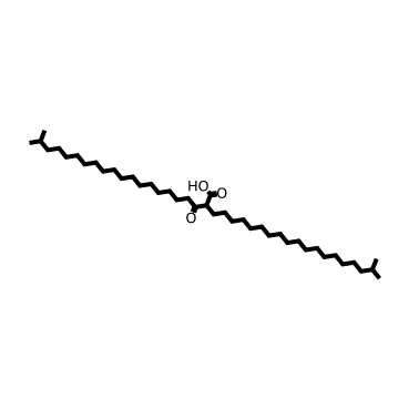 CC(C)CCCCCCCCCCCCCCCCCC(C(=O)O)C(=O)CCCCCCCCCCCCCCCCC(C)C